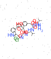 CC(C)C(N)C(=O)N[C@@]1(O)Cc2ccc(O)c(c2)[C@]23c4cccc(c4OC2O)-c2cccc4[nH]c(Cl)c(c24)-c2oc(nc2Cl)-c2nc(oc23)[C@H](C(C)C)NC1=O